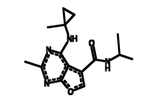 Cc1nc(NC2(C)CC2)c2c(C(=O)NC(C)C)coc2n1